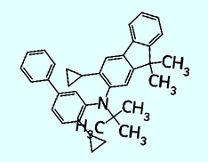 CC1(C)c2ccccc2-c2cc(C3CC3)c(N(c3cc(-c4ccccc4)ccc3C3CC3)C(C)(C)C)cc21